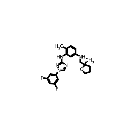 Cc1ccc(NCC2(C)CCCO2)cc1Nc1ncn(-c2cc(F)cc(F)c2)n1